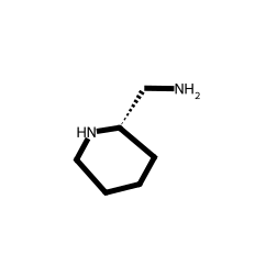 NC[C@@H]1CCCCN1